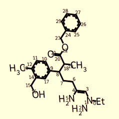 CCN(N)/C=C(\N)CCC(c1ccc(C)c(CO)c1)C(C)C(=O)OCc1ccccc1